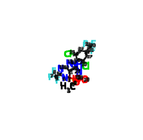 C[S+]([O-])c1nc(C(F)(F)F)nc2nn(-c3c(Cl)cc(C(F)(F)F)cc3Cl)c(NC(=O)O)c12